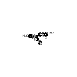 COc1cc(Cl)cc(Cn2ccc(-c3cn(S(=O)(=O)c4ccc(C)cc4)c4ncc(N5CCOCC5)cc34)cc2=O)c1